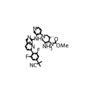 COC(=O)N(C)[C@@H]1[C@H](N)CN(c2ccncc2Nc2ncc3ccc(-c4c(F)cc(C(C)(C)C#N)cc4F)nn23)C[C@@H]1C